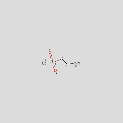 [CH2]CCCCS(=O)(=O)CC